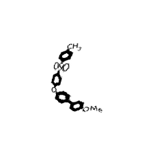 COc1ccc(-c2ccc(OC3=CCC(S(=O)(=O)c4ccc(C)cc4)C=C3)cc2)cc1